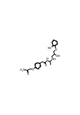 CC(NCC(O)COc1ccccc1C#N)NC(=O)Cc1ccc(OCC(N)=O)cc1